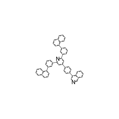 c1cc(-c2cc(-c3ccc(-c4cncc5ccccc45)cc3)cc(-c3cccc(-c4cccc5ccccc45)c3)n2)cc(-c2cccc3ccccc23)c1